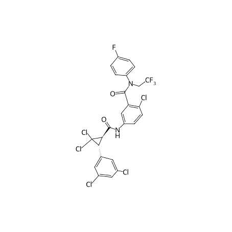 O=C(Nc1ccc(Cl)c(C(=O)N(CC(F)(F)F)c2ccc(F)cc2)c1)[C@H]1[C@H](c2cc(Cl)cc(Cl)c2)C1(Cl)Cl